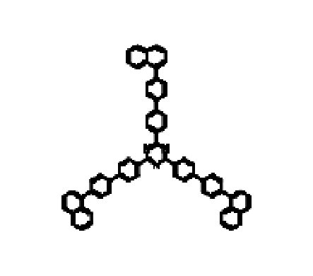 c1ccc2c(-c3ccc(-c4ccc(-c5nc(-c6ccc(-c7ccc(-c8cccc9ccccc89)cc7)cc6)nc(-c6ccc(-c7ccc(-c8cccc9ccccc89)cc7)cc6)n5)cc4)cc3)cccc2c1